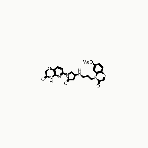 COc1ccc2ncc(=O)n(CCCNC3CC(=O)N(c4ccc5c(n4)NC(=O)CO5)C3)c2c1